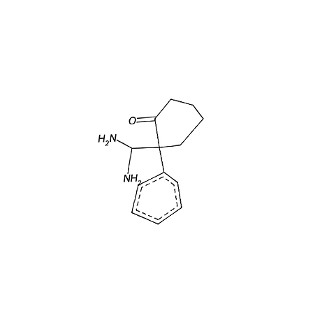 NC(N)C1(c2ccccc2)CCCCC1=O